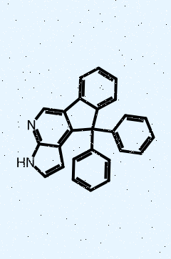 c1ccc(C2(c3ccccc3)c3ccccc3-c3cnc4[nH]ccc4c32)cc1